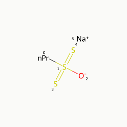 CCCS([O-])(=S)=S.[Na+]